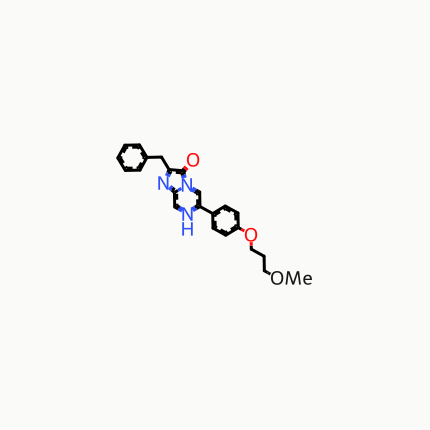 COCCCOc1ccc(-c2cn3c(=O)c(Cc4ccccc4)nc-3c[nH]2)cc1